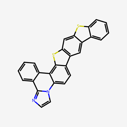 c1ccc2c(c1)sc1cc3sc4c(ccc5c4c4ccccc4c4nccn54)c3cc12